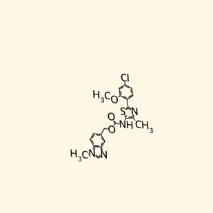 COc1cc(Cl)ccc1-c1nc(C)c(NC(=O)OCc2ccc3c(c2)ncn3C)s1